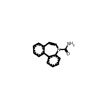 NC(=O)N1C=Cc2ccccc2-c2ccccc21